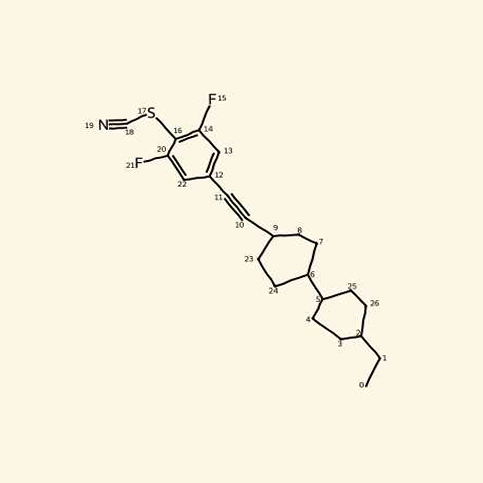 CCC1CCC(C2CCC(C#Cc3cc(F)c(SC#N)c(F)c3)CC2)CC1